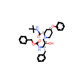 CC(C)(C)NC(=O)[C@@H]1C[C@H](Oc2ccccc2)CCN1C[C@@H](O)[C@H](Cc1ccccc1)NC(=O)OCc1ccccc1